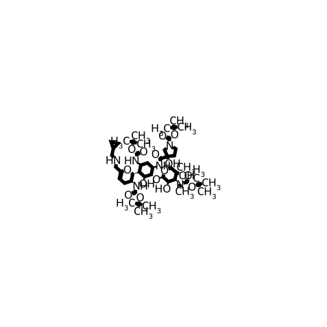 CN(C(=O)OC(C)(C)C)[C@@H]1[C@@H](O)[C@@H](O[C@H]2[C@H](NC(=O)C3(O)CCN(C(=O)OC(C)(C)C)C3)C[C@H](NC(=O)OC(C)(C)C)C([C@H]3OC(CNCC4CC4)=CC[C@H]3NC(=O)OC(C)(C)C)[C@@H]2O)OC[C@]1(C)O